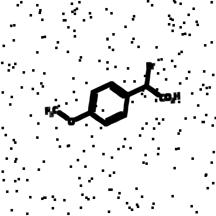 O=C(O)C(Br)c1ccc(OC(F)(F)F)cc1